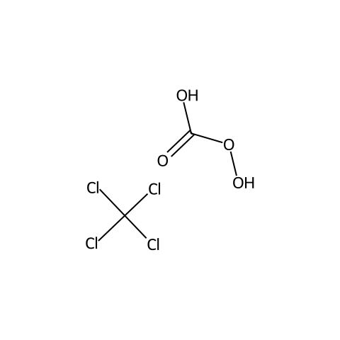 ClC(Cl)(Cl)Cl.O=C(O)OO